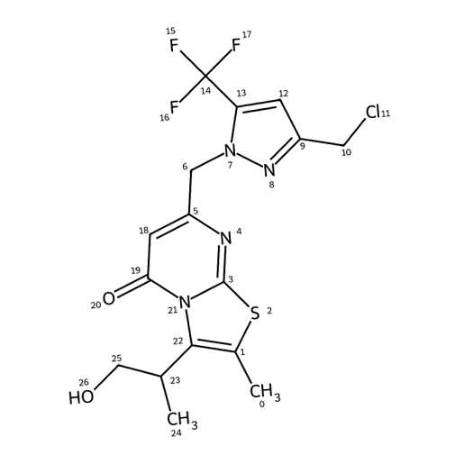 Cc1sc2nc(Cn3nc(CCl)cc3C(F)(F)F)cc(=O)n2c1C(C)CO